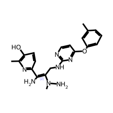 Cc1cccc(Oc2ccnc(NC/C(=C(/N)c3ccc(O)c(C)n3)N(C)N)n2)c1